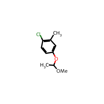 COC(C)Oc1ccc(Cl)c(C)c1